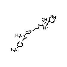 Cn1c(SCCCNCC[C@]2(C)C[C@H]2c2ccc(C(F)(F)F)cc2)nnc1-c1ccnnc1